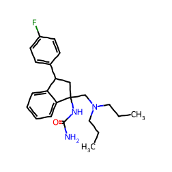 CCCN(CCC)CC1(NC(N)=O)CC(c2ccc(F)cc2)c2ccccc21